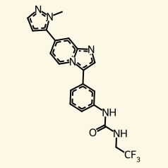 Cn1nccc1-c1ccn2c(-c3cccc(NC(=O)NCC(F)(F)F)c3)cnc2c1